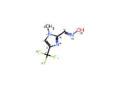 Cn1cc(C(F)(F)F)nc1C=NO